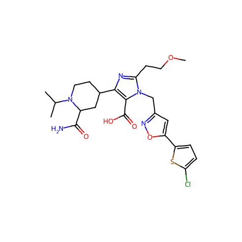 COCCc1nc(C2CCN(C(C)C)C(C(N)=O)C2)c(C(=O)O)n1Cc1cc(-c2ccc(Cl)s2)on1